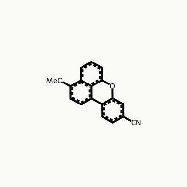 COc1ccc2c3c(cccc13)Oc1cc(C#N)ccc1-2